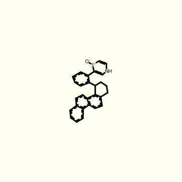 [O-][S+]1C=CNC=C1c1ccccc1C1CCCc2ccc3c(ccc4ccccc43)c21